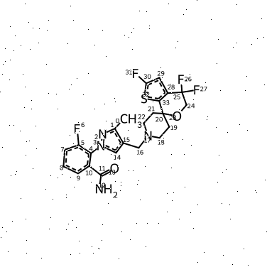 Cc1nn(-c2c(F)cccc2C(N)=O)cc1CN1CCC2(CC1)OCC(F)(F)c1cc(F)sc12